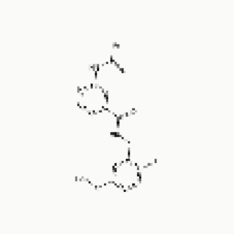 CC(C)C(=O)Nc1cc(C(=O)NCc2cc(OC(F)(F)F)ccc2F)ccn1